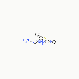 NCCN1CCC(Nc2cc(C(F)(F)F)cc3c2Nc2ccc(N4CC5CCC4C5)cc2S3)CC1